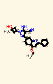 CCOc1cc(-c2ccccc2)nc2cc(-c3nn(C4CC(C)(O)C4)c(N)c3C#N)ccc12